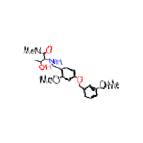 CNC(=O)C(NCc1ccc(OCc2cccc(OC)c2)cc1OC)C(C)O